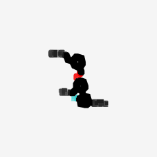 COc1ccc(F)c(-c2ccc(OCc3cccc(CCC=O)c3)cc2CC(C)(C)C)c1